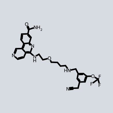 N#CCc1cc(CNCCCCOCCNc2nc3cc(C(N)=O)ccc3c3cnccc23)cc(OC(F)(F)F)c1